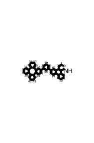 C/C=C\c1c(C=N)c2ccccc2c2ccc(-c3cccc(-c4ccc5c(c4)-c4ccccc4-c4ccccc4-c4ccccc4-5)c3)cc12